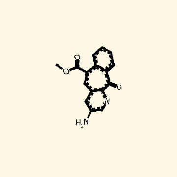 COC(=O)c1cc2cc(N)cnc2c(=O)c2ccccc12